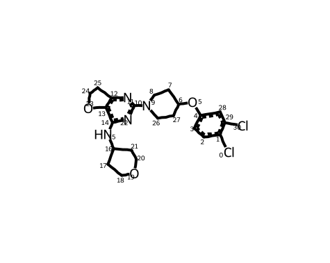 Clc1ccc(OC2CCN(c3nc4c(c(NC5CCOCC5)n3)OCC4)CC2)cc1Cl